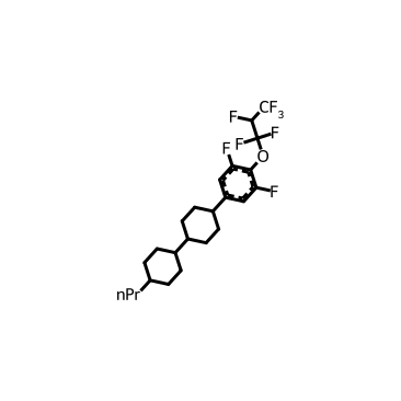 CCCC1CCC(C2CCC(c3cc(F)c(OC(F)(F)C(F)C(F)(F)F)c(F)c3)CC2)CC1